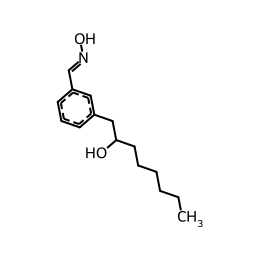 CCCCCCC(O)Cc1cccc(C=NO)c1